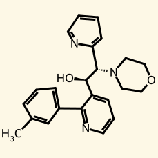 Cc1cccc(-c2ncccc2[C@@H](O)[C@H](c2ccccn2)N2CCOCC2)c1